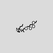 CCCc1nccn1C(C)COCC(=O)CC(=O)OCC